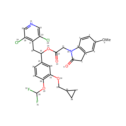 COc1ccc2c(c1)CC(=O)N2CC(=O)OC(Cc1c(Cl)cncc1Cl)c1ccc(OC(F)F)c(OCC2CC2)c1